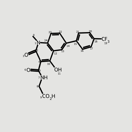 Cn1c(=O)c(C(=O)NCC(=O)O)c(O)c2cc(-c3ccc(C(F)(F)F)cc3)ccc21